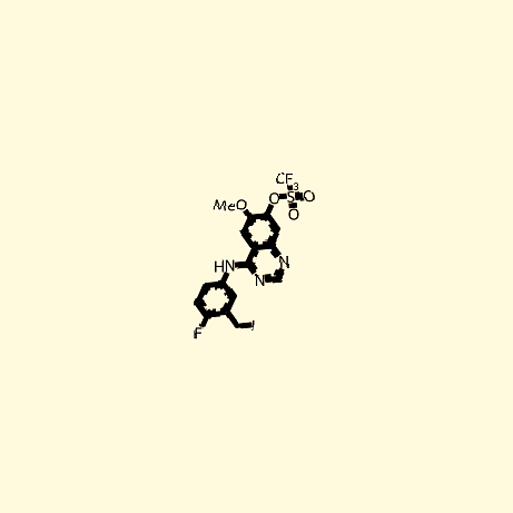 COc1cc2c(Nc3ccc(F)c(CI)c3)ncnc2cc1OS(=O)(=O)C(F)(F)F